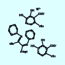 CCCCCCCC(=Nc1ccccc1)C(CCCC)=Nc1ccccc1.CCCCc1ccc(O)c(O)c1C(=O)[O-].CCCCc1ccc(O)c(O)c1C(=O)[O-].[Ni+2]